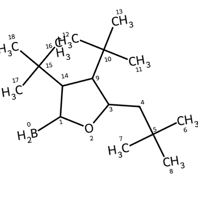 BC1OC(CC(C)(C)C)C(C(C)(C)C)C1C(C)(C)C